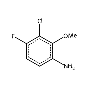 COc1c(N)ccc(F)c1Cl